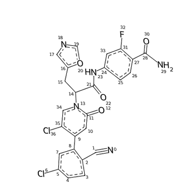 N#Cc1ccc(Cl)cc1-c1cc(=O)n(C(Cc2cnco2)C(=O)Nc2ccc(C(N)=O)c(F)c2)cc1Cl